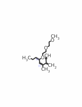 C#CC(=C)/C(C)=C\C(=C/CC)OCCOCCOC